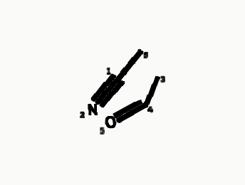 CC#N.CC=O